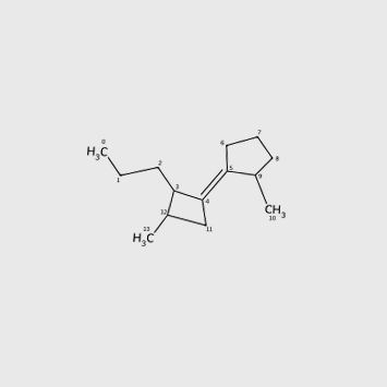 CCCC1C(=C2CCCC2C)CC1C